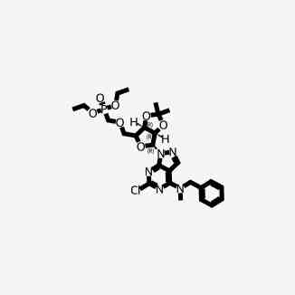 CCOP(=O)(COCC1O[C@@H](n2ncc3c(N(C)Cc4ccccc4)nc(Cl)nc32)[C@@H]2OC(C)(C)O[C@H]12)OCC